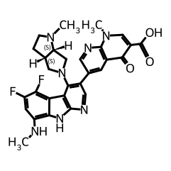 CNc1cc(F)c(F)c2c1[nH]c1ncc(-c3cnc4c(c3)c(=O)c(C(=O)O)cn4C)c(N3C[C@@H]4CCN(C)[C@@H]4C3)c12